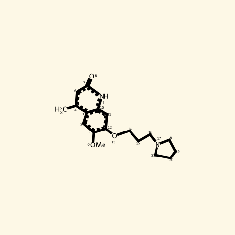 COc1cc2c(C)cc(=O)[nH]c2cc1OCCCN1CCCC1